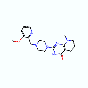 COc1cccnc1CN1CCN(c2nc3c(c(=O)[nH]2)CCCN3C)CC1